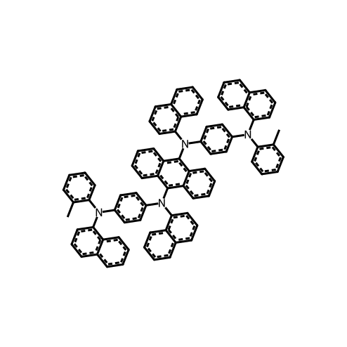 Cc1ccccc1N(c1ccc(N(c2cccc3ccccc23)c2c3ccccc3c(N(c3ccc(N(c4ccccc4C)c4cccc5ccccc45)cc3)c3cccc4ccccc34)c3ccccc23)cc1)c1cccc2ccccc12